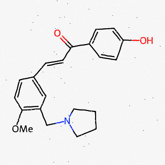 COc1ccc(/C=C/C(=O)c2ccc(O)cc2)cc1CN1CCCC1